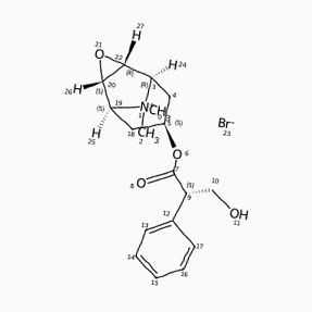 C[N+]1(C)[C@@H]2C[C@@H](OC(=O)[C@H](CO)c3ccccc3)C[C@H]1[C@@H]1O[C@@H]12.[Br-]